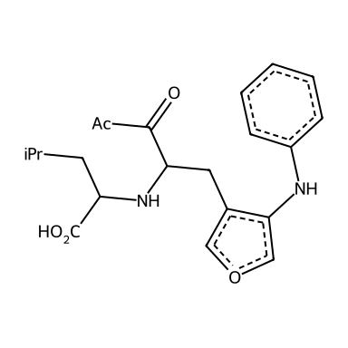 CC(=O)C(=O)C(Cc1cocc1Nc1ccccc1)NC(CC(C)C)C(=O)O